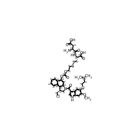 COc1cc2[nH]cc(C(=O)N3C[C@@H](CCl)c4c3cc(OC(=O)OCCSSC[C@H](NC(=O)[C@@H](N)CC(=O)O)C(=O)O)c3ccccc43)c2cc1OCCN(C)C